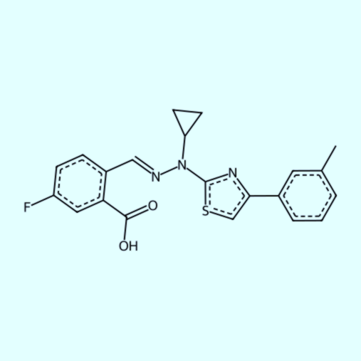 Cc1cccc(-c2csc(N(/N=C/c3ccc(F)cc3C(=O)O)C3CC3)n2)c1